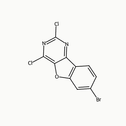 Clc1nc(Cl)c2oc3cc(Br)ccc3c2n1